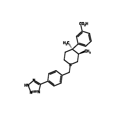 C[C@H]1CN(Cc2ccc(-c3nn[nH]n3)cc2)CC[C@@]1(C)c1cccc(C(=O)O)c1